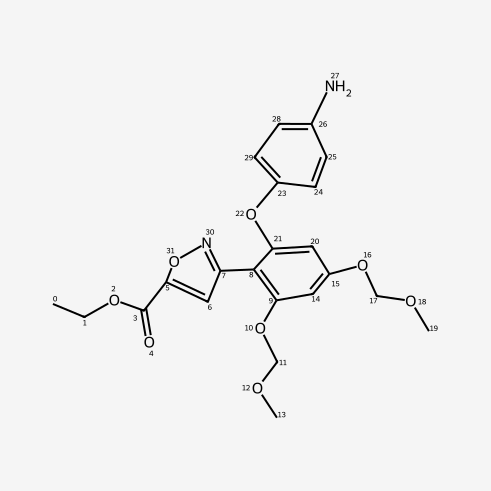 CCOC(=O)c1cc(-c2c(OCOC)cc(OCOC)cc2Oc2ccc(N)cc2)no1